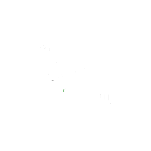 C=CCC1CC1c1cc(C(C)(C)C)ccc1F